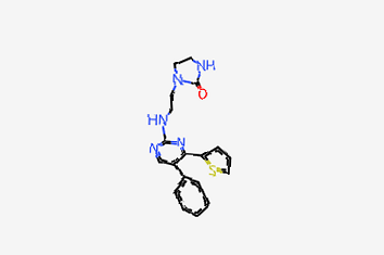 O=C1NCCN1CCNc1ncc(-c2ccccc2)c(-c2cccs2)n1